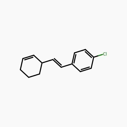 Clc1ccc(C=CC2C=CCCC2)cc1